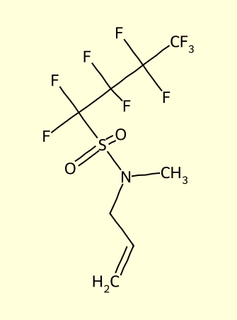 C=CCN(C)S(=O)(=O)C(F)(F)C(F)(F)C(F)(F)C(F)(F)F